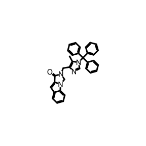 Cc1c(CN2Cn3c(cc4ccccc43)C2=O)ncn1C(c1ccccc1)(c1ccccc1)c1ccccc1